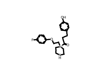 O=C(CCc1ccc(O)cc1)[N+]1(CCOc2ccc(F)cc2)CCNCC1